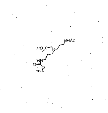 CC(=O)NCCCN(CCCNC(=O)OC(C)(C)C)CC(=O)O